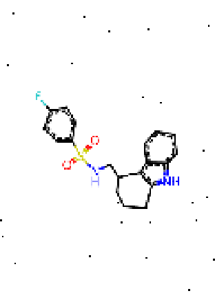 O=S(=O)(NCC1CCCc2[nH]c3ccccc3c21)c1ccc(F)cc1